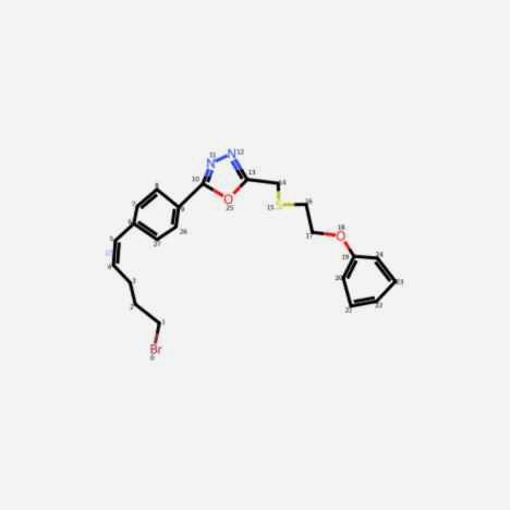 BrCCC/C=C\c1ccc(-c2nnc(CSCCOc3ccccc3)o2)cc1